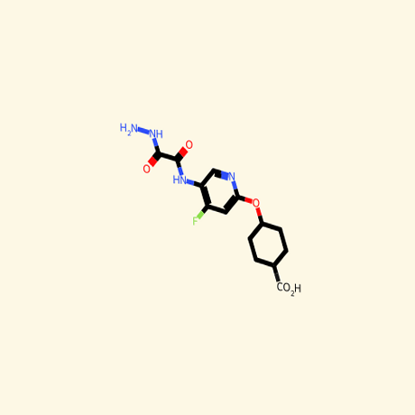 NNC(=O)C(=O)Nc1cnc(OC2CCC(C(=O)O)CC2)cc1F